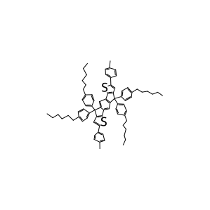 CCCCCCc1ccc(C2(c3ccc(CCCCCC)cc3)c3cc4c(cc3-c3sc(-c5ccc(C)cc5)cc32)C(c2ccc(CCCCCC)cc2)(c2ccc(CCCCCC)cc2)c2cc(-c3ccc(C)cc3)sc2-4)cc1